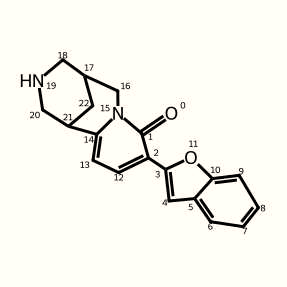 O=c1c(-c2cc3ccccc3o2)ccc2n1CC1CNCC2C1